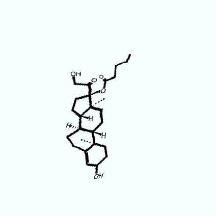 CCCCC(=O)O[C@]1(C(=O)CO)CC[C@H]2[C@@H]3CCC4=CC(O)CC[C@]4(C)[C@H]3CC[C@@]21C